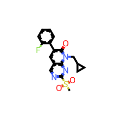 CS(=O)(=O)c1ncc2cc(-c3ccccc3F)c(=O)n(CC3CC3)c2n1